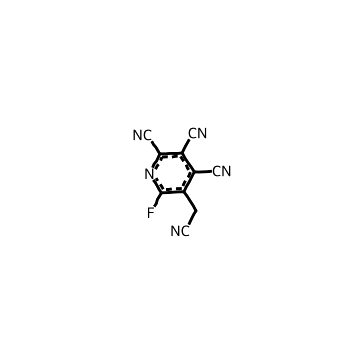 N#CCc1c(F)nc(C#N)c(C#N)c1C#N